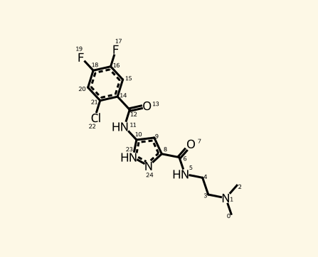 CN(C)CCNC(=O)c1cc(NC(=O)c2cc(F)c(F)cc2Cl)[nH]n1